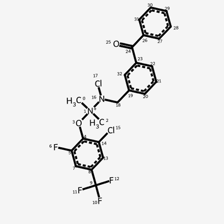 C[N+](C)(Oc1c(F)cc(C(F)(F)F)cc1Cl)N(Cl)Cc1cccc(C(=O)c2ccccc2)c1